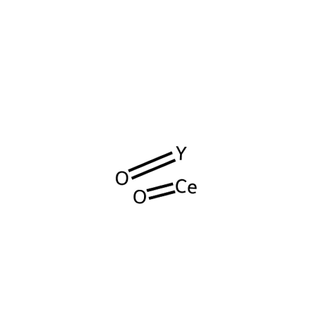 [O]=[Ce].[O]=[Y]